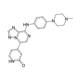 CN1CCN(c2ccc(Nc3ncc(-c4cc[nH]c(=O)c4)n4ncnc34)cc2)CC1